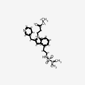 COC(=O)CCn1c(Cc2cccnc2)cc2c(CCNS(=O)(=O)N(C)C)cccc21